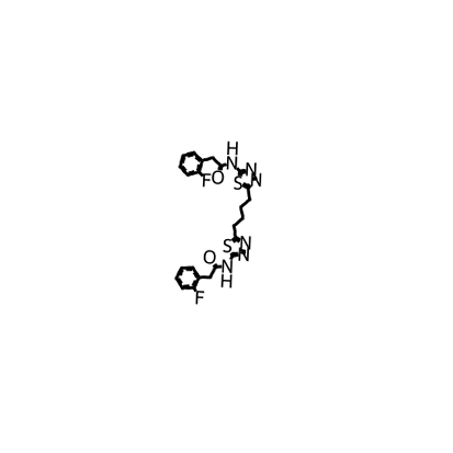 O=C(Cc1ccccc1F)Nc1nnc(CCCCc2nnc(NC(=O)Cc3ccccc3F)s2)s1